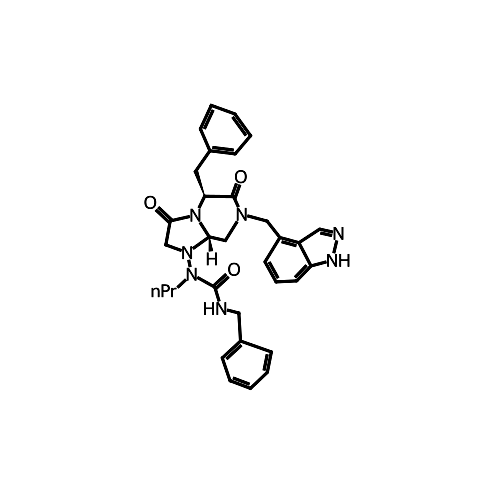 CCCN(C(=O)NCc1ccccc1)N1CC(=O)N2[C@@H](Cc3ccccc3)C(=O)N(Cc3cccc4[nH]ncc34)C[C@@H]21